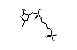 CC1CC(OP(=O)(O)OCCCOP(C)(=O)O)C(C(C)(C)C)O1